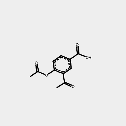 CC(=O)Oc1ccc(C(=O)O)cc1C(C)=O